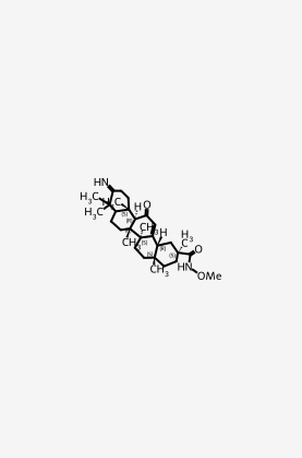 CONC(=O)[C@@]1(C)CC[C@]2(C)CC[C@]3(C)C(=CC(=O)[C@@H]4[C@@]5(C)CCC(=N)C(C)(C)C5CC[C@]43C)[C@@H]2C1